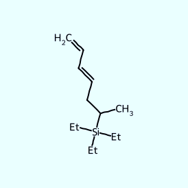 C=CC=CCC(C)[Si](CC)(CC)CC